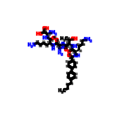 CCCCc1ccc(-c2ccc(C(=O)N[C@@H](CCCCN)C(=O)N[C@H](C(=O)N[C@@H](N)C(=O)N[C@@H](CCCCN)C(=O)N[C@@H](N)B(O)O)[C@@H](C)O)cc2)cc1